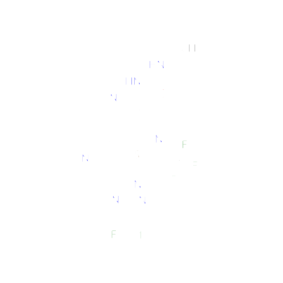 CCNC(=O)Nc1cc(-c2nc(C(F)(F)F)cs2)c(-c2cncc(-c3nnc(C(F)F)[nH]3)c2)cn1